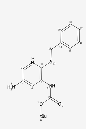 CC(C)(C)OC(=O)Nc1cc(N)cnc1SCc1ccccc1